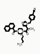 CCCC[C@H]1CN(C(=O)c2cccc3ccccc23)CCN1C(=O)[C@H](C)c1cncn1Cc1ccc(C#N)cc1